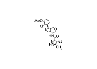 CCc1c(C(=O)N[C@H]2COCc3c2cnn3-c2cccc(OC)c2Cl)n[nH]c1C